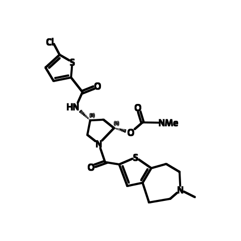 CNC(=O)O[C@H]1C[C@@H](NC(=O)c2ccc(Cl)s2)CN1C(=O)c1cc2c(s1)CCN(C)CC2